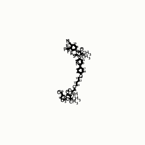 CC(C)(C)C(NC(=O)COCCCCOc1ccc(-c2ccc(N3C(=S)N(c4ccc(C#N)c(C(F)(F)F)c4F)C(=O)C3(C)C)cn2)cc1)C(=O)N1COCC1C=O